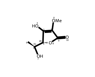 COC1=C(O)[C@@H]([C@H](C)O)OC1=O